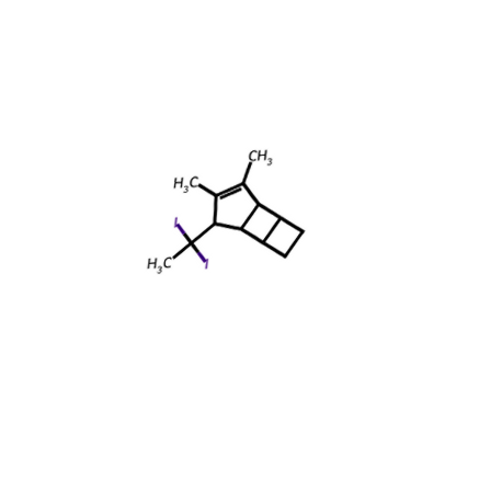 CC1=C(C)C(C(C)(I)I)C2C3CCC3C12